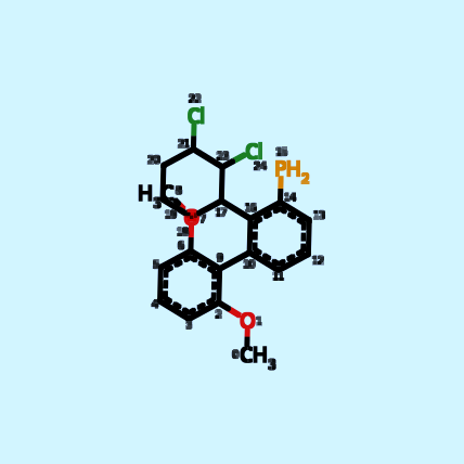 COc1cccc(OC)c1-c1cccc(P)c1C1CCCC(Cl)C1Cl